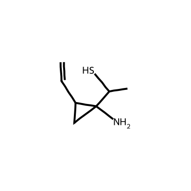 C=CC1CC1(N)C(C)S